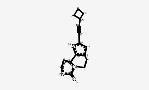 O=c1nccc2n1CCc1cc(C#CC3CCC3)sc1-2